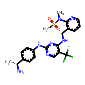 C[C@@H](N)c1ccc(Nc2ncc(C(F)(F)F)c(NCc3cccnc3N(C)S(C)(=O)=O)n2)cc1